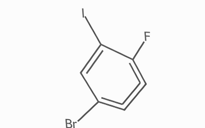 FC1=C=C=C(Br)C=C1I